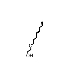 C=CCC=CCCCOCCO